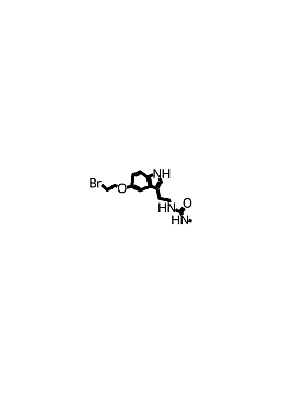 CNC(=O)NCCc1c[nH]c2ccc(OCCBr)cc12